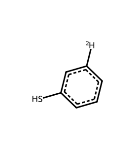 [2H]c1cccc(S)c1